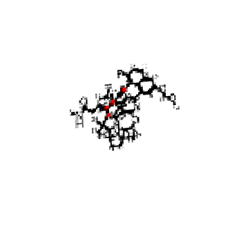 CNC(=O)CCc1nc2c3c(nc(-c4cc(OCOC)cc5ccc(F)c(C#C[Si](C(C)C)(C(C)C)C(C)C)c45)c(F)c3c1C)O[C@@H](C)[C@@H]1[C@@H]3CC[C@@H](N3)C(C(C)(C)C)N21